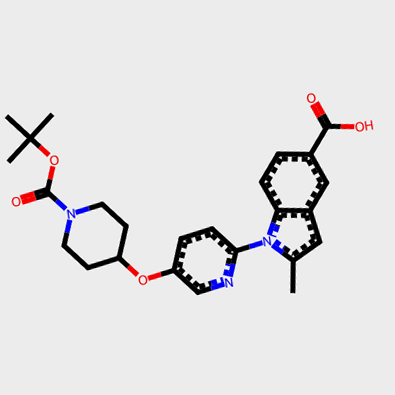 Cc1cc2cc(C(=O)O)ccc2n1-c1ccc(OC2CCN(C(=O)OC(C)(C)C)CC2)cn1